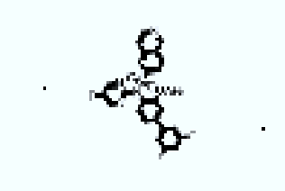 COc1cc(-c2cc(F)cc(F)c2)ccc1N(c1ncc(F)cn1)S(=O)(=O)c1ccc2cnccc2c1